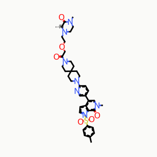 Cc1ccc(S(=O)(=O)n2ccc3c(-c4ccc(N5CCC6(CCN(C(=O)COCCN7CCN(C)C(=O)[C@H]7C)CC6)CC5)nc4)cn(C)c(=O)c32)cc1